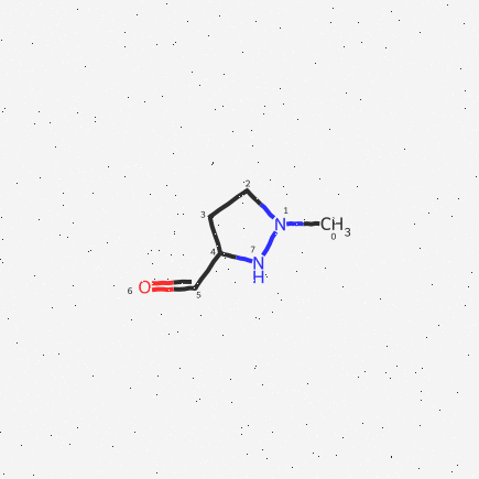 CN1CCC(C=O)N1